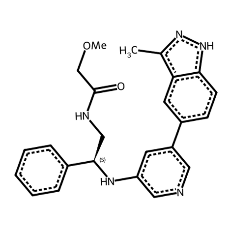 COCC(=O)NC[C@@H](Nc1cncc(-c2ccc3[nH]nc(C)c3c2)c1)c1ccccc1